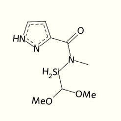 COC(OC)[SiH2]N(C)C(=O)c1cc[nH]n1